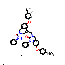 O=C(Nc1ccccc1)N(Cc1ccc(Oc2ccc([N+](=O)[O-])cc2)cc1)CC1CC1CN(Cc1ccc(Oc2ccc([N+](=O)[O-])cc2)cc1)C(=O)Nc1ccccc1